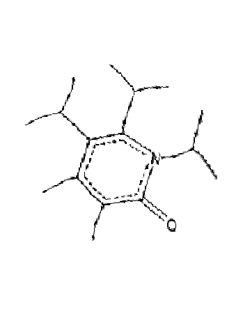 Cc1c(C(C)C)c(C(C)C)n(C(C)C)c(=O)c1C